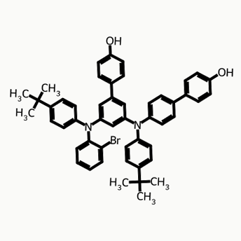 CC(C)(C)c1ccc(N(c2ccc(-c3ccc(O)cc3)cc2)c2cc(-c3ccc(O)cc3)cc(N(c3ccc(C(C)(C)C)cc3)c3ccccc3Br)c2)cc1